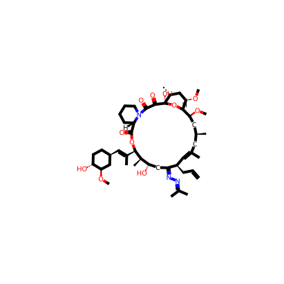 C=CC[C@@H]1/C=C(\C)C[C@H](C)C[C@H](OC)[C@H]2O[C@@](O)(C(=O)C(=O)N3CCCC[C@H]3C(=O)O[C@H](/C(C)=C/[C@@H]3CC[C@@H](O)[C@H](OC)C3)[C@H](C)[C@@H](O)C/C1=N/N=C(C)C)[C@H](C)C[C@@H]2OC